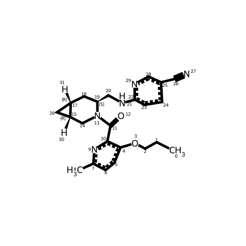 CCCOc1ccc(C)nc1C(=O)N1C[C@@H]2C[C@@H]2C[C@H]1CNc1ccc(C#N)cn1